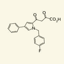 O=C(O)C(=O)CC(=O)c1cc(-c2ccccc2)cn1Cc1ccc(F)cc1